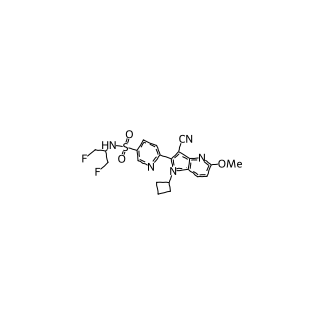 COc1ccc2c(n1)c(C#N)c(-c1ccc(S(=O)(=O)NC(CF)CF)cn1)n2C1CCC1